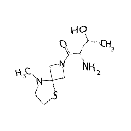 C[C@@H](O)[C@H](N)C(=O)N1CC2(C1)SCCN2C